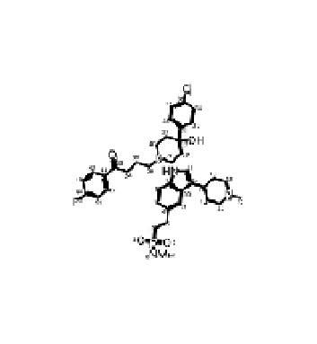 CNS(=O)(=O)CCc1ccc2[nH]cc(C3CCN(C)CC3)c2c1.O=C(CCCN1CCC(O)(c2ccc(Cl)cc2)CC1)c1ccc(F)cc1